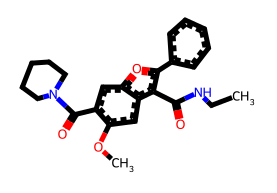 CCNC(=O)c1c(-c2ccccc2)oc2cc(C(=O)N3CCCCC3)c(OC)cc12